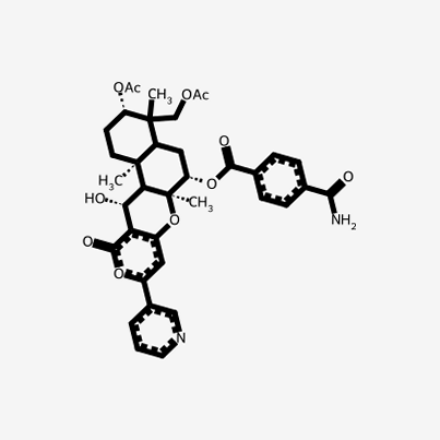 CC(=O)OCC1(C)C2C[C@H](OC(=O)c3ccc(C(N)=O)cc3)[C@@]3(C)Oc4cc(-c5cccnc5)oc(=O)c4[C@H](O)C3[C@@]2(C)CC[C@@H]1OC(C)=O